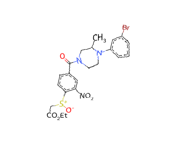 CCOC(=O)C[S+]([O-])c1ccc(C(=O)N2CCN(c3cccc(Br)c3)C(C)C2)cc1[N+](=O)[O-]